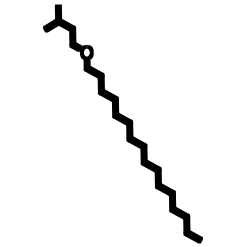 CCCCCCCCCCCCCCCCOCCC(C)C